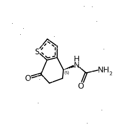 NC(=O)N[C@H]1CCC(=O)c2sccc21